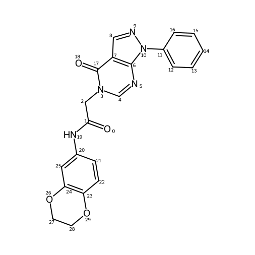 O=C(Cn1cnc2c(cnn2-c2ccccc2)c1=O)Nc1ccc2c(c1)OCCO2